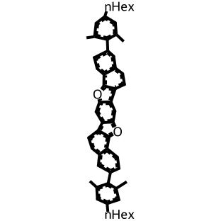 CCCCCCc1cc(C)c(-c2ccc3c(ccc4c5cc6oc7c8ccc(-c9c(C)cc(CCCCCC)cc9C)cc8ccc7c6cc5oc34)c2)c(C)c1